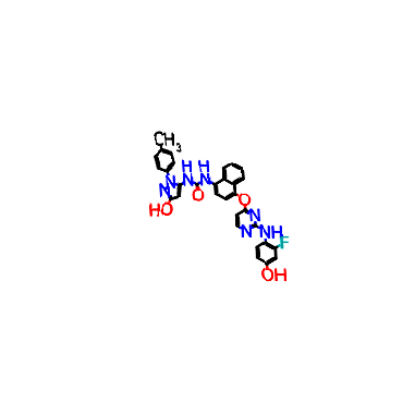 Cc1ccc(-n2nc(O)cc2NC(=O)Nc2ccc(Oc3ccnc(Nc4ccc(O)cc4F)n3)c3ccccc23)cc1